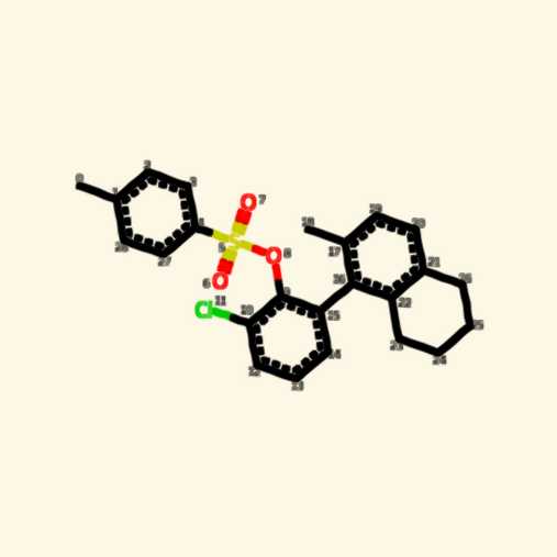 Cc1ccc(S(=O)(=O)Oc2c(Cl)cccc2-c2c(C)ccc3c2CCCC3)cc1